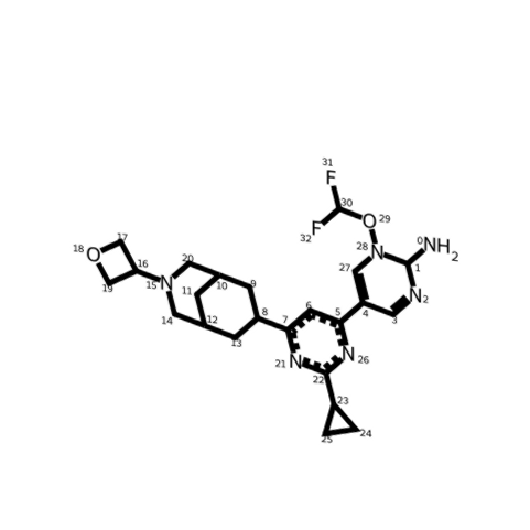 NC1N=CC(c2cc(C3CC4CC(C3)CN(C3COC3)C4)nc(C3CC3)n2)=CN1OC(F)F